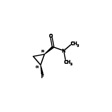 CN(C)C(=O)[C@@H]1C[C@@H]1F